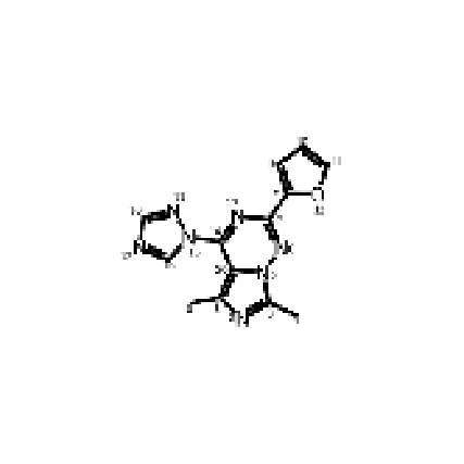 Cc1nc(C)n2nc(-c3ccco3)nc(-n3cncn3)c12